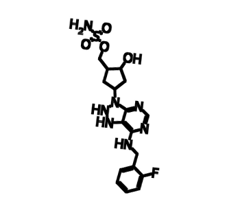 NS(=O)(=O)OCC1CC(N2NNc3c(NCc4ccccc4F)ncnc32)CC1O